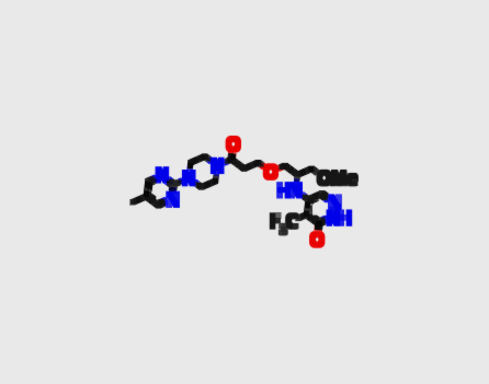 COCC(COCCC(=O)N1CCN(c2ncc(C)cn2)CC1)Nc1cn[nH]c(=O)c1C(F)(F)F